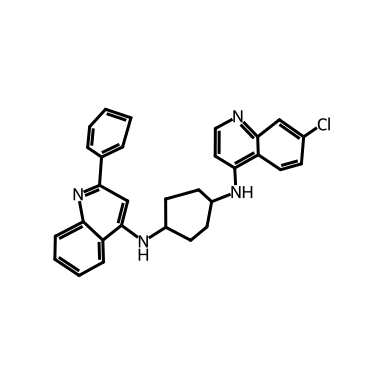 Clc1ccc2c(NC3CCC(Nc4cc(-c5ccccc5)nc5ccccc45)CC3)ccnc2c1